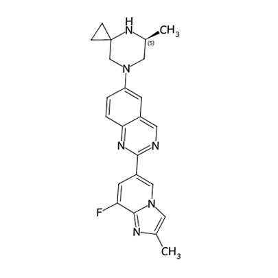 Cc1cn2cc(-c3ncc4cc(N5C[C@H](C)NC6(CC6)C5)ccc4n3)cc(F)c2n1